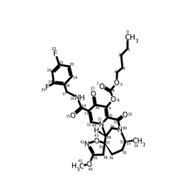 CCCCCOC(=O)Oc1c2n(cc(C(=O)NCc3ccc(F)cc3F)c1=O)[C@@H]1CN(C2=O)[C@@H](C)CC[C@]12CC(OC)=NO2